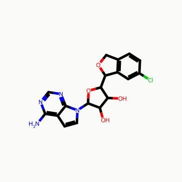 Nc1ncnc2c1ccn2C1OC(C2OCc3ccc(Cl)cc32)C(O)C1O